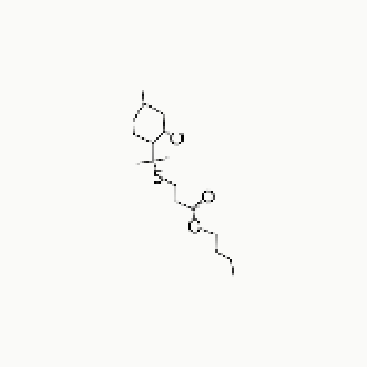 CCCCOC(=O)CCSC(C)(C)C1CCC(C)CC1=O